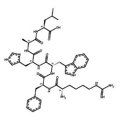 CC(C)C[C@H](NC(=O)[C@H](C)NC(=O)[C@H](Cc1c[nH]cn1)NC(=O)[C@H](Cc1c[nH]c2ccccc12)NC(=O)[C@H](Cc1ccccc1)NC(=O)[C@@H](N)CCCCNC(=N)N)C(=O)O